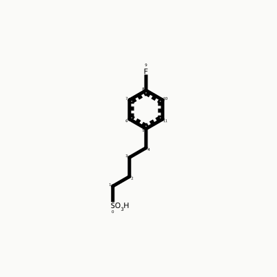 O=S(=O)(O)CCCCc1ccc(F)cc1